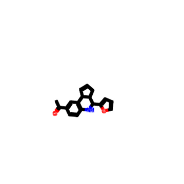 CC(=O)c1ccc2c(c1)C1C=CCC1C(c1ccco1)N2